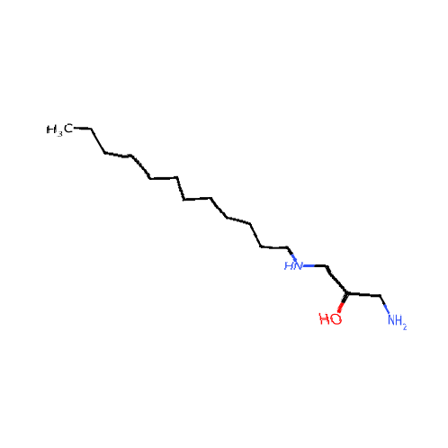 CCCCCCCCCCCCNCC(O)CN